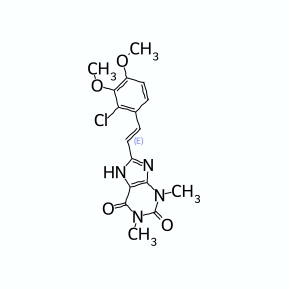 COc1ccc(/C=C/c2nc3c([nH]2)c(=O)n(C)c(=O)n3C)c(Cl)c1OC